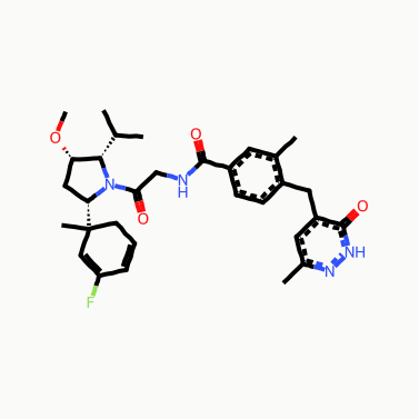 CO[C@H]1C[C@@H](C2(C)C=C(F)C=CC2)N(C(=O)CNC(=O)c2ccc(Cc3cc(C)n[nH]c3=O)c(C)c2)[C@H]1C(C)C